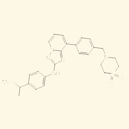 COC(C)c1ccc(Nc2nc3c(-c4ccc(CN5CCS(=O)(=O)CC5)cc4)cccn3n2)cc1